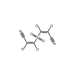 N#C/C(Cl)=C(/Cl)S(=O)(=O)/C(Cl)=C(/Cl)C#N